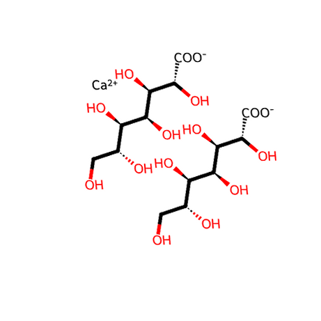 O=C([O-])[C@H](O)[C@H](O)[C@@H](O)[C@H](O)[C@H](O)CO.O=C([O-])[C@H](O)[C@H](O)[C@@H](O)[C@H](O)[C@H](O)CO.[Ca+2]